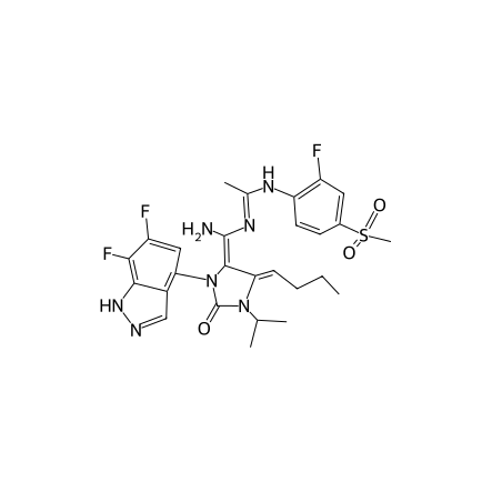 CCC/C=c1/c(=C(N)\N=C(/C)Nc2ccc(S(C)(=O)=O)cc2F)n(-c2cc(F)c(F)c3[nH]ncc23)c(=O)n1C(C)C